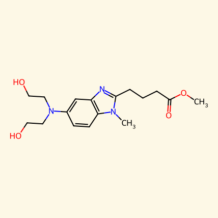 COC(=O)CCCc1nc2cc(N(CCO)CCO)ccc2n1C